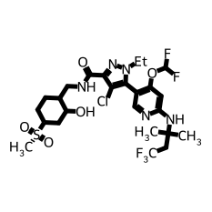 CCn1nc(C(=O)NCC2CCC(S(C)(=O)=O)CC2O)c(Cl)c1-c1cnc(NC(C)(C)CC(F)(F)F)cc1OC(F)F